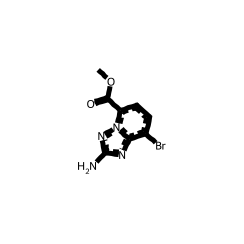 COC(=O)c1ccc(Br)c2nc(N)nn12